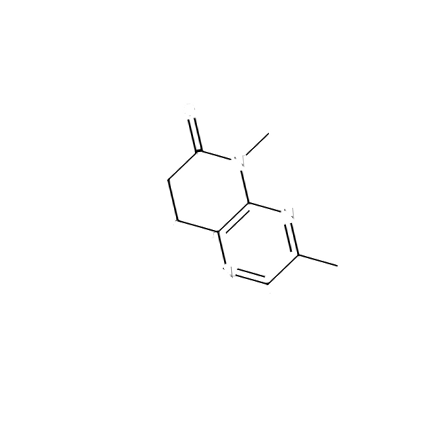 Cc1cnc2c(n1)N(C)C(=O)CC2